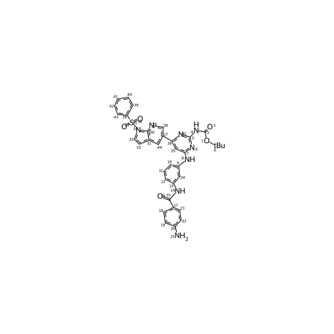 CC(C)(C)OC(=O)Nc1nc(Nc2cccc(NC(=O)c3ccc(N)cc3)c2)cc(-c2cnc3c(ccn3S(=O)(=O)c3ccccc3)c2)n1